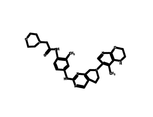 Cc1cc(Nc2ncc3c(n2)CN(c2cnc4c(c2C)NCCO4)CC3)ccc1NC(=O)CN1CCOCC1